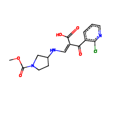 COC(=O)N1CCC(NC=C(C(=O)O)C(=O)c2cccnc2Cl)C1